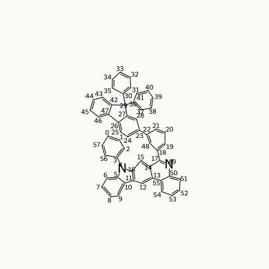 c1ccc(-n2c3ccccc3c3cc4c(cc32)c(-c2cccc(-c3ccc5c(c3)C(c3ccccc3)(c3ccccc3)c3ccccc3-5)c2)nc2ccccc24)cc1